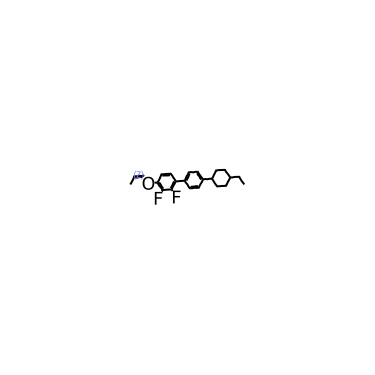 C/C=C\Oc1ccc(-c2ccc(C3CCC(CC)CC3)cc2)c(F)c1F